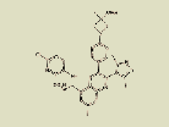 COC1(C)CN(c2ccc(-c3cc4c([C@@H](C)Nc5ccc(Cl)nc5C(=O)O)cc(C)cc4nc3-c3c(C)noc3C)cc2)C1